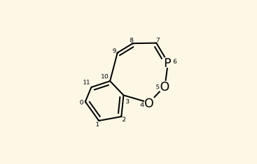 c1ccc2oopcccc2c1